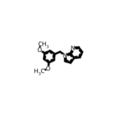 COc1cc(Cn2ccc3cccnc32)cc(OC)c1